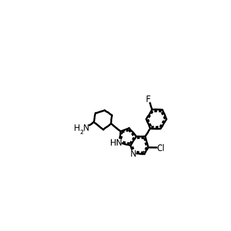 NC1CCCC(c2cc3c(-c4cccc(F)c4)c(Cl)cnc3[nH]2)C1